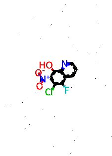 O=[N+]([O-])c1c(Cl)c(F)c2cccnc2c1O